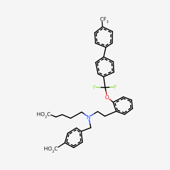 O=C(O)CCCCN(CCc1ccccc1OC(F)(F)c1ccc(-c2ccc(C(F)(F)F)cc2)cc1)Cc1ccc(C(=O)O)cc1